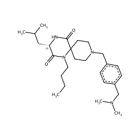 CCCCN1C(=O)[C@H](CC(C)C)NC(=O)C12CCN(Cc1ccc(CN(C)C)cc1)CC2